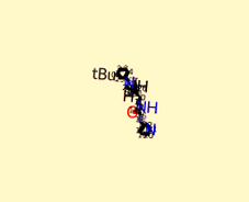 CC(C)(C)c1cccc(N2C[C@@H]3[C@@H](CCNC(=O)/C=C/c4cccnc4)[C@@H]3C2)c1